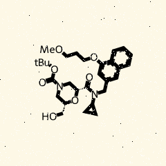 COCCCOc1cc(CN(C(=O)[C@H]2CN(C(=O)OC(C)(C)C)C[C@@H](CO)O2)C2CC2)cc2ccccc12